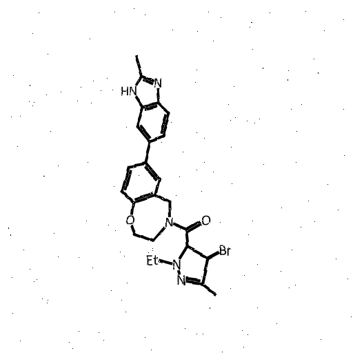 CCN1N=C(C)C(Br)C1C(=O)N1CCOc2ccc(-c3ccc4nc(C)[nH]c4c3)cc2C1